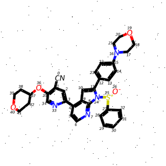 N#Cc1cc(-c2ccnc3c2cc(-c2ccc(N4CCOCC4)cc2)n3[S+]([O-])c2ccccc2)ncc1OC1CCOCC1